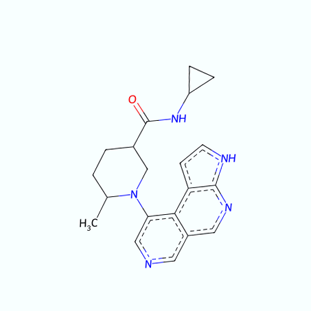 CC1CCC(C(=O)NC2CC2)CN1c1cncc2cnc3[nH]ccc3c12